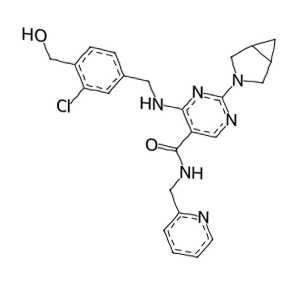 O=C(NCc1ccccn1)c1cnc(N2CC3CC3C2)nc1NCc1ccc(CO)c(Cl)c1